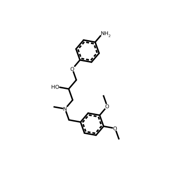 COc1ccc(CN(C)CC(O)COc2ccc(N)cc2)cc1OC